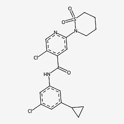 O=C(Nc1cc(Cl)cc(C2CC2)c1)c1cc(N2CCCCS2(=O)=O)ncc1Cl